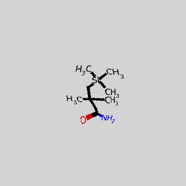 CC(C)(C[Si](C)(C)C)C(N)=O